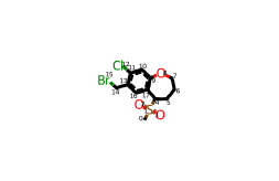 CS(=O)(=O)C1CCCOc2cc(Cl)c(CBr)cc21